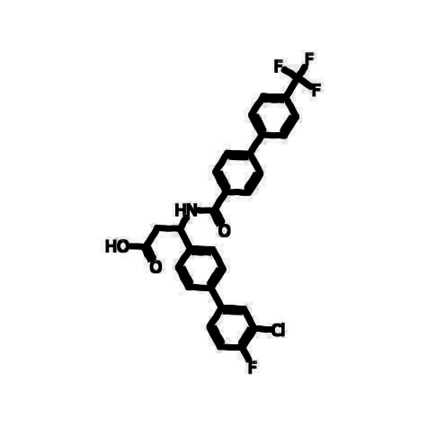 O=C(O)CC(NC(=O)c1ccc(-c2ccc(C(F)(F)F)cc2)cc1)c1ccc(-c2ccc(F)c(Cl)c2)cc1